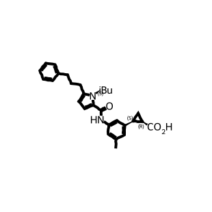 CC[C@H](C)n1c(CCCc2ccccc2)ccc1C(=O)Nc1cc(C)cc([C@H]2C[C@H]2C(=O)O)c1